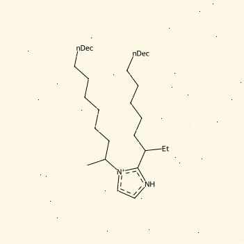 CCCCCCCCCCCCCCCCC(C)[n+]1cc[nH]c1C(CC)CCCCCCCCCCCCCCC